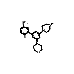 Cc1ccc(N)cc1-c1cc(N2CCOCC2)nc(N2CCN(C)CC2)c1